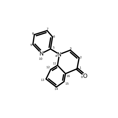 O=c1ccn(-c2ccccn2)c2ccccc12